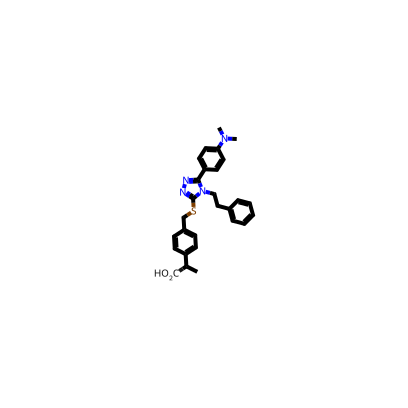 CC(C(=O)O)c1ccc(CSc2nnc(-c3ccc(N(C)C)cc3)n2CCc2ccccc2)cc1